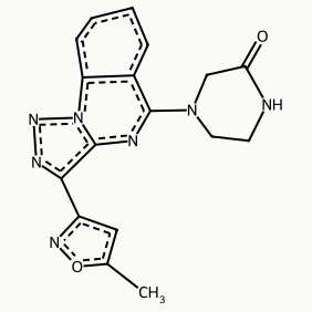 Cc1cc(-c2nnn3c2nc(N2CCNC(=O)C2)c2ccccc23)no1